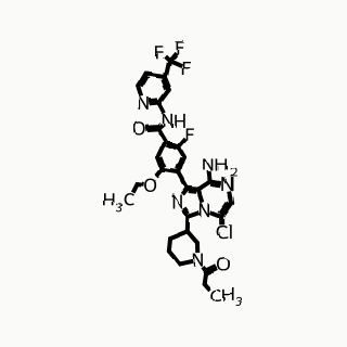 CCOc1cc(C(=O)Nc2cc(C(F)(F)F)ccn2)c(F)cc1-c1nc(C2CCCN(C(=O)CC)C2)n2c(Cl)cnc(N)c12